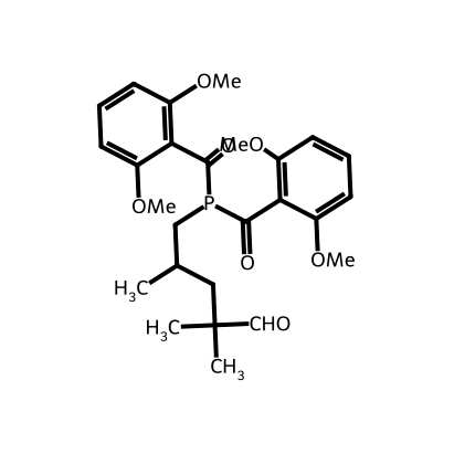 COc1cccc(OC)c1C(=O)P(CC(C)CC(C)(C)C=O)C(=O)c1c(OC)cccc1OC